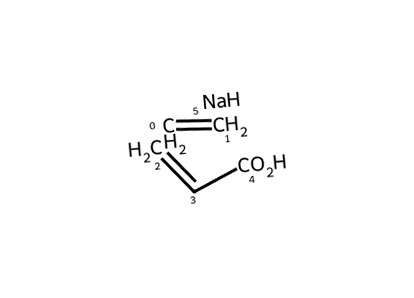 C=C.C=CC(=O)O.[NaH]